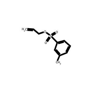 C=CCOS(=O)(=O)c1cccc(C)c1